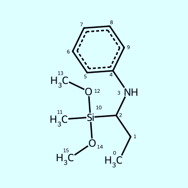 CCC(Nc1ccccc1)[Si](C)(OC)OC